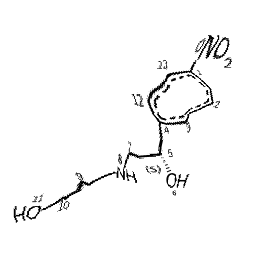 O=[N+]([O-])c1ccc([C@H](O)CNCCO)cc1